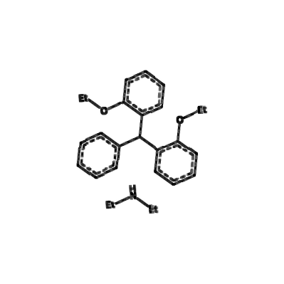 CCNCC.CCOc1ccccc1C(c1ccccc1)c1ccccc1OCC